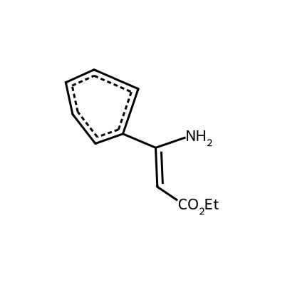 CCOC(=O)/C=C(\N)c1ccccc1